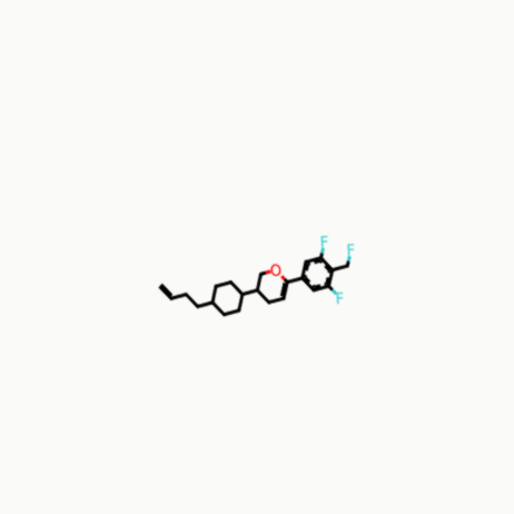 C=CCCC1CCC(C2CC=C(c3cc(F)c(CF)c(F)c3)OC2)CC1